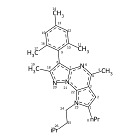 CCCc1cc2c(C)nc3c(-c4c(C)cc(C)cc4C)c(C)nn3c2n1CCC(C)C